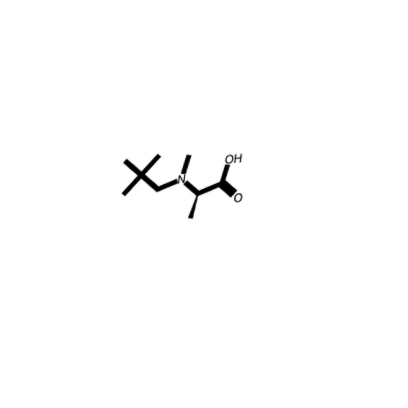 C[C@H](C(=O)O)N(C)CC(C)(C)C